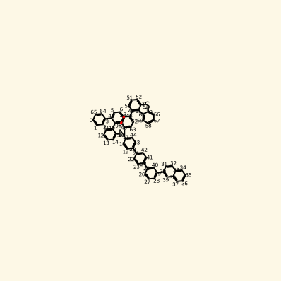 c1ccc(-c2ccccc2-c2ccccc2N(c2ccc(-c3ccc(-c4cccc(-c5ccc6ccccc6c5)c4)cc3)cc2)c2ccc(-c3cccc4sc5ccccc5c34)cc2)cc1